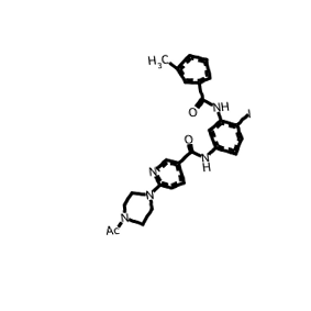 CC(=O)N1CCN(c2ccc(C(=O)Nc3ccc(I)c(NC(=O)c4cccc(C)c4)c3)cn2)CC1